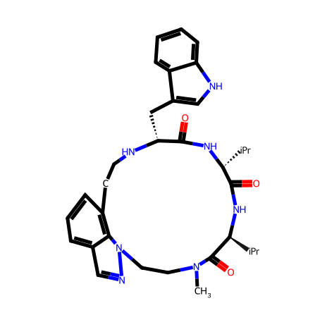 CC(C)[C@@H]1NC(=O)[C@@H](C(C)C)NC(=O)[C@@H](Cc2c[nH]c3ccccc23)NCCc2cccc3cnn(c23)CCN(C)C1=O